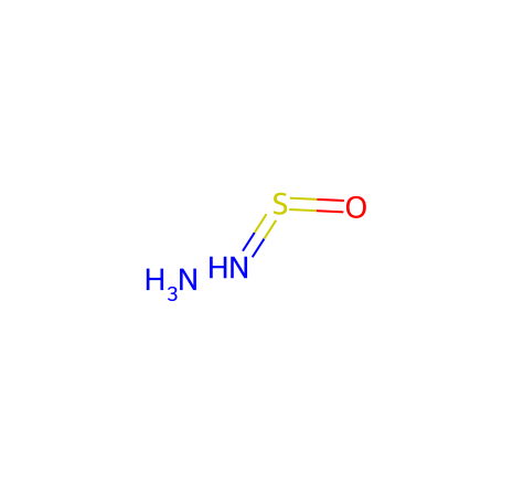 N.N=S=O